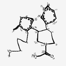 COCCCc1c(C)cccc1C1CN(C(=O)O)CCC1c1cccnc1